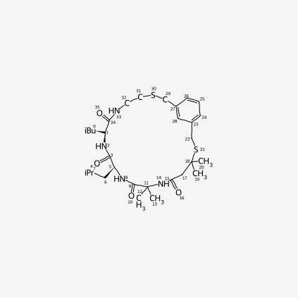 CC[C@H](C)[C@@H]1NC(=O)[C@H](CC(C)C)NC(=O)C(C)(C)NC(=O)CC(C)(C)SCc2cccc(c2)CSCCNC1=O